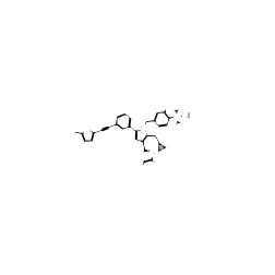 CCOC(=O)c1nc(-c2cc(-c3cccc(C#Cc4ccc(C)s4)c3)n(Cc3ccc(S(N)(=O)=O)c(F)c3)c2CC2CC2)sc1CC